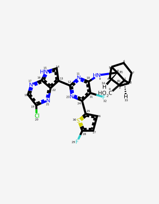 O=C(O)[C@@H]1C2CCC(CC2)[C@H]1Nc1nc(-c2c[nH]c3ncc(Cl)nc23)nc(-c2ccc(F)s2)c1F